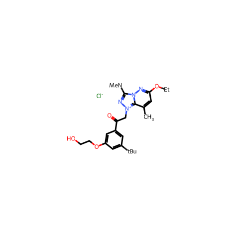 CCOc1cc(C)c2n(n1)c(NC)n[n+]2CC(=O)c1cc(OCCO)cc(C(C)(C)C)c1.[Cl-]